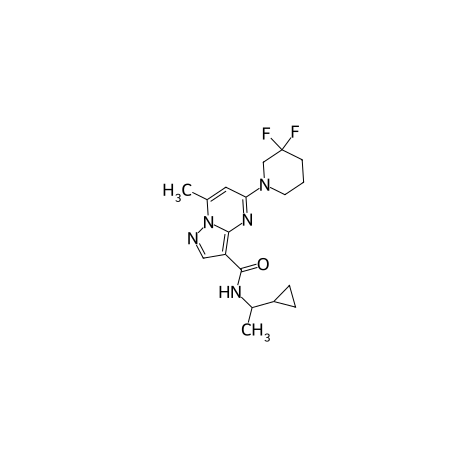 Cc1cc(N2CCCC(F)(F)C2)nc2c(C(=O)NC(C)C3CC3)cnn12